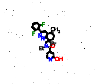 CCN(C[C@@]1(C(C)C)CC[C@H](C)c2cc(-c3c(F)cccc3F)nnc21)C(=O)c1ccnc(O)c1